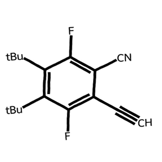 C#Cc1c(F)c(C(C)(C)C)c(C(C)(C)C)c(F)c1C#N